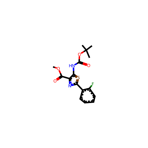 COC(=O)c1nc(-c2ccccc2F)sc1NC(=O)OC(C)(C)C